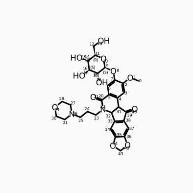 COc1cc2c(cc1O[C@@H]1O[C@H](CO)[C@H](O)[C@H](O)[C@H]1O)C(=O)N(CCCN1CCOCC1)C1c3cc4c(cc3C(=O)C21)OCO4